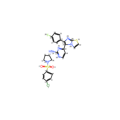 O=S(=O)(c1ccc(Cl)cc1)N1CC[C@H](Nc2nccc(-c3c(-c4ccc(F)cc4)nc4sccn34)n2)C1